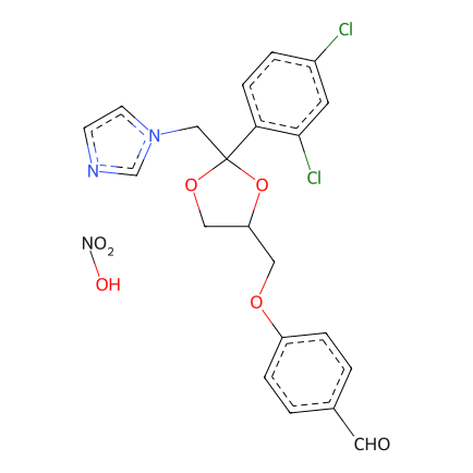 O=Cc1ccc(OCC2COC(Cn3ccnc3)(c3ccc(Cl)cc3Cl)O2)cc1.O=[N+]([O-])O